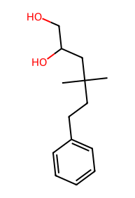 CC(C)(CCc1ccccc1)CC(O)CO